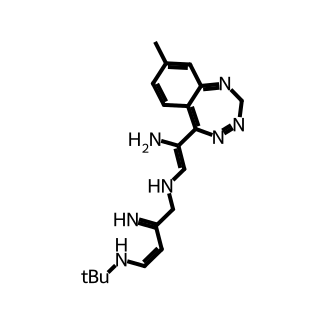 Cc1ccc2c(c1)=NCN=NC=2/C(N)=C/NCC(=N)/C=C\NC(C)(C)C